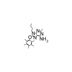 CCCCn1c(Oc2c(C)c(C)c(C)c(C)c2C)nc2c(N)nc(C)nc21